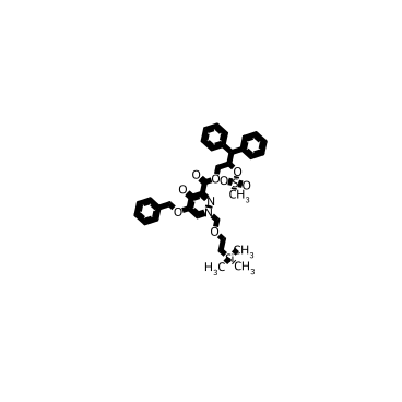 C[Si](C)(C)CCOCn1cc(OCc2ccccc2)c(=O)c(C(=O)OCC(OS(C)(=O)=O)C(c2ccccc2)c2ccccc2)n1